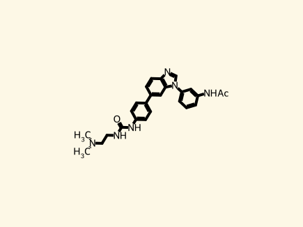 CC(=O)Nc1cccc(-n2cnc3ccc(-c4ccc(NC(=O)NCCN(C)C)cc4)cc32)c1